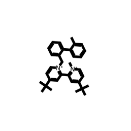 Cc1ccccc1-c1ccccc1C[n+]1ccc(C(C)(C)C)cc1-c1cc(C(C)(C)C)cc[n+]1C